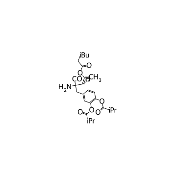 CCC(C)CC(=O)O[C@@H](C)CC(N)(Cc1ccc(OC(=O)C(C)C)c(OC(=O)C(C)C)c1)C(=O)O